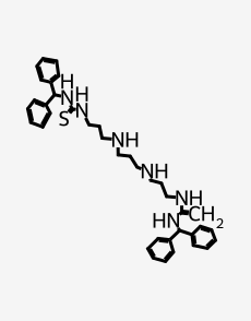 C=C(NCCCNCCCNCCCNC(=S)NC(c1ccccc1)c1ccccc1)NC(c1ccccc1)c1ccccc1